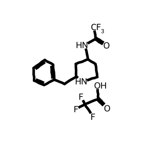 O=C(NC1CCNC(Cc2ccccc2)C1)C(F)(F)F.O=C(O)C(F)(F)F